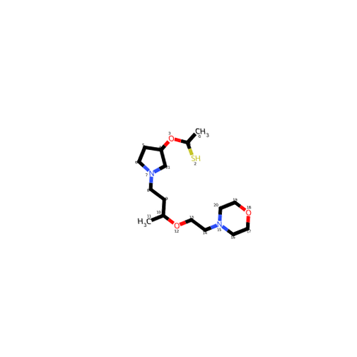 CC(S)OC1CCN(CCC(C)OCCN2CCOCC2)C1